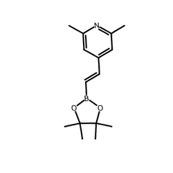 Cc1cc(/C=C/B2OC(C)(C)C(C)(C)O2)cc(C)n1